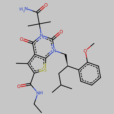 CCNC(=O)c1sc2c(c1C)c(=O)n(C(C)(C)C(N)=O)c(=O)n2C[C@H](CC(C)C)c1ccccc1OC